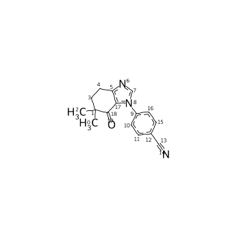 CC1(C)CCc2ncn(-c3ccc(C#N)cc3)c2C1=O